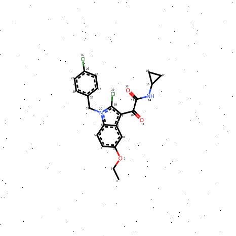 CCOc1ccc2c(c1)c(C(=O)C(=O)NC1CC1)c(Cl)n2Cc1ccc(Cl)cc1